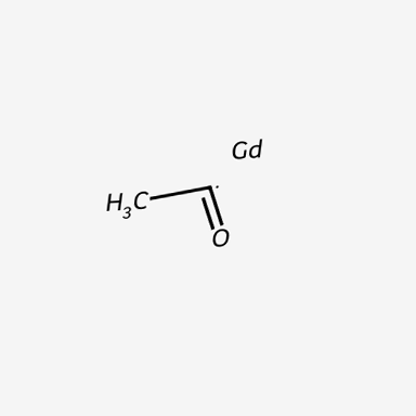 C[C]=O.[Gd]